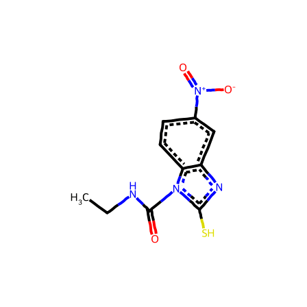 CCNC(=O)n1c(S)nc2cc([N+](=O)[O-])ccc21